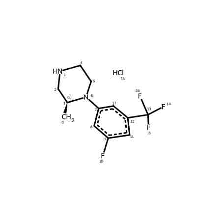 C[C@H]1CNCCN1c1cc(F)cc(C(F)(F)F)c1.Cl